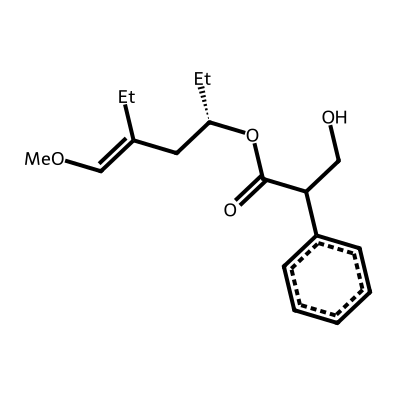 CC/C(=C\OC)C[C@H](CC)OC(=O)C(CO)c1ccccc1